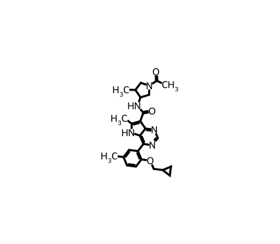 CC(=O)N1CC(C)C(NC(=O)c2c(C)[nH]c3c(-c4cc(C)ccc4OCC4CC4)ncnc23)C1